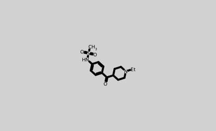 CCN1CCC(C(=O)c2ccc(NS(C)(=O)=O)cc2)CC1